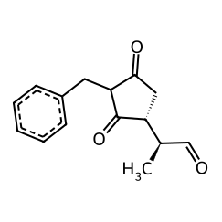 C[C@H](C=O)[C@H]1CC(=O)C(Cc2ccccc2)C1=O